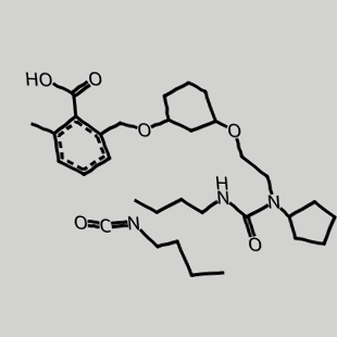 CCCCN=C=O.CCCCNC(=O)N(CCOC1CCCC(OCc2cccc(C)c2C(=O)O)C1)C1CCCC1